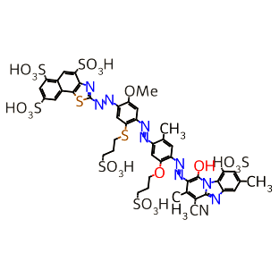 COc1cc(N=Nc2cc(OCCCS(=O)(=O)O)c(N=Nc3c(C)c(C#N)c4nc5cc(C)cc(S(=O)(=O)O)c5n4c3O)cc2C)c(SCCCS(=O)(=O)O)cc1N=Nc1nc2c(S(=O)(=O)O)cc3c(S(=O)(=O)O)cc(S(=O)(=O)O)cc3c2s1